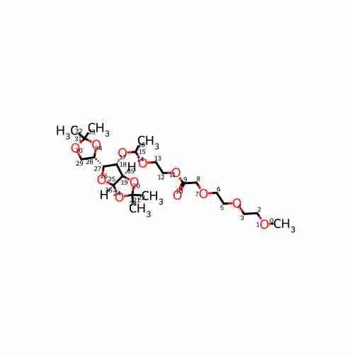 COCCOCCOCC(=O)OCCOC(C)O[C@@H]1[C@H]2OC(C)(C)O[C@H]2O[C@@H]1C1COC(C)(C)O1